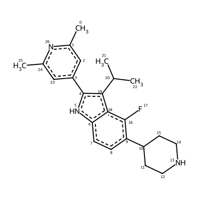 Cc1cc(-c2[nH]c3ccc(C4CCNCC4)c(F)c3c2C(C)C)cc(C)n1